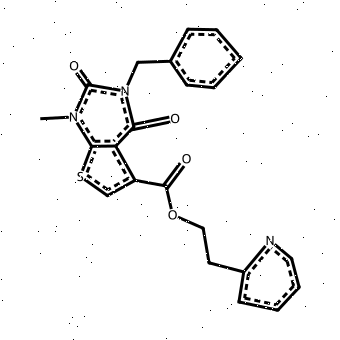 Cn1c(=O)n(Cc2ccccc2)c(=O)c2c(C(=O)OCCc3ccccn3)csc21